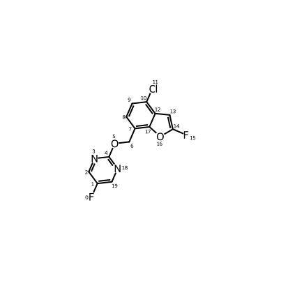 Fc1cnc(OCc2ccc(Cl)c3cc(F)oc23)nc1